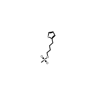 CS(=O)(=O)OCCCCc1cccs1